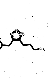 CCCCc1[nH]nnc1CC(C)C